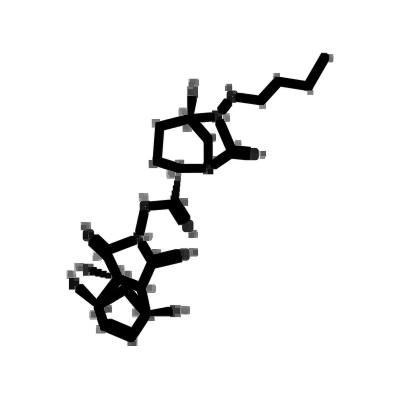 CCCCON1C(=O)N2C[C@@H]1CC[C@H]2C(=O)ON1C(=O)C2[C@@H]3C=C[C@@H](C3)[C@H]2C1=O